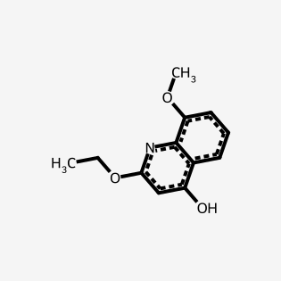 CCOc1cc(O)c2cccc(OC)c2n1